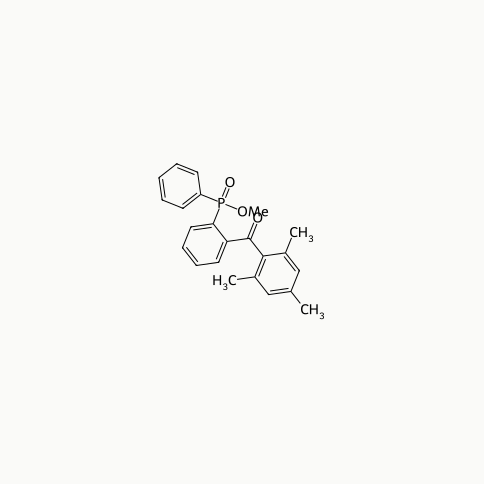 COP(=O)(c1ccccc1)c1ccccc1C(=O)c1c(C)cc(C)cc1C